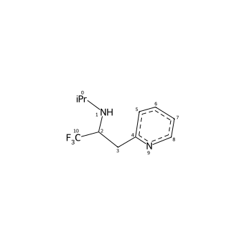 CC(C)NC(Cc1ccccn1)C(F)(F)F